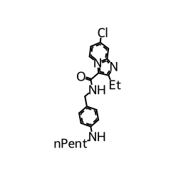 CCCCCNc1ccc(CNC(=O)c2c(CC)nc3cc(Cl)ccn23)cc1